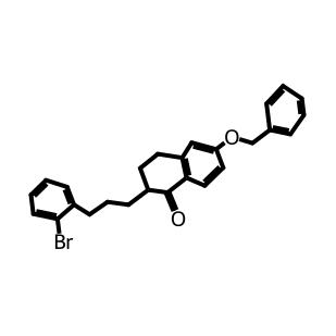 O=C1c2ccc(OCc3ccccc3)cc2CCC1CCCc1ccccc1Br